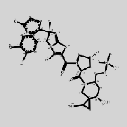 CC(C)C1=C(C(=O)N2C[C@H](F)C[C@H]2C(=O)N2CC3(CC3C(C)(C)C)N(C(=O)O)C[C@@H]2CO[Si](C)(C)C(C)(C)C)SC2=N[C@@](C)(c3ccc(Cl)nc3)[C@@H](c3ccc(Cl)c(F)c3)N21